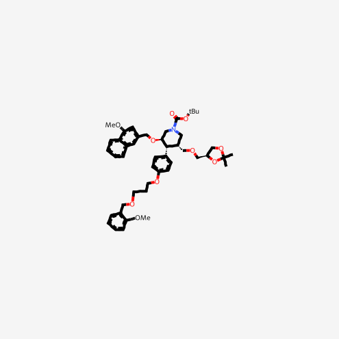 COc1ccccc1COCCCOc1ccc([C@H]2[C@@H](COC[C@H]3COC(C)(C)O3)CN(C(=O)OC(C)(C)C)C[C@@H]2OCc2cc(OC)c3ccccc3c2)cc1